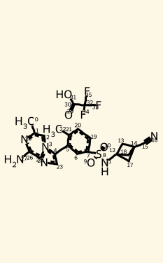 Cc1cn2c(-c3cc(S(=O)(=O)NC45CC(C#N)(C4)C5)ccc3C)cnc2c(N)n1.O=C(O)C(F)(F)F